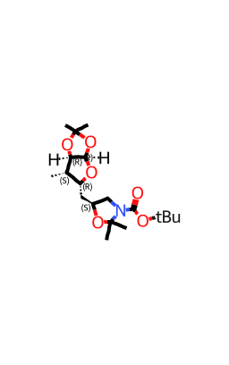 C[C@@H]1[C@H]2OC(C)(C)O[C@H]2O[C@@H]1C[C@H]1CN(C(=O)OC(C)(C)C)C(C)(C)O1